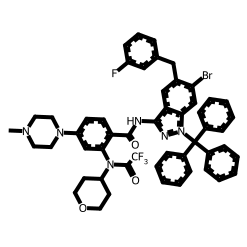 CN1CCN(c2ccc(C(=O)Nc3nn(C(c4ccccc4)(c4ccccc4)c4ccccc4)c4cc(Br)c(Cc5cccc(F)c5)cc34)c(N(C(=O)C(F)(F)F)C3CCOCC3)c2)CC1